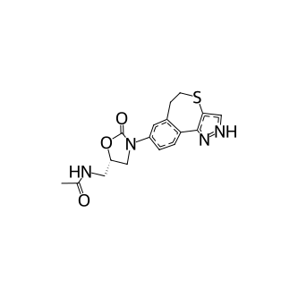 CC(=O)NC[C@H]1CN(c2ccc3c(c2)CCSc2c[nH]nc2-3)C(=O)O1